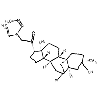 C=NN(CC(=O)[C@H]1CC[C@H]2[C@@H]3CC[C@@H]4C[C@](C)(O)CC[C@]4(COC(C)C)[C@H]3CC[C@]12C)/N=N\C